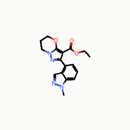 CCOC(=O)c1c(-c2cccc3c2cnn3C)nn2c1OCCC2